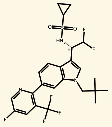 CC(C)(C)Cn1cc([C@H](NS(=O)(=O)C2CC2)C(F)F)c2ccc(-c3ncc(F)cc3C(F)(F)F)cc21